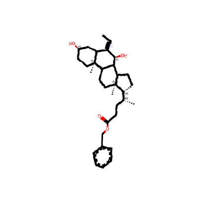 C/C=C1\C2C[C@H](O)CC[C@]2(C)C2CC[C@@]3(C)C(CC[C@@H]3[C@H](C)CCC(=O)OCc3ccccc3)C2[C@@H]1O